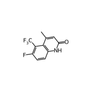 Cc1cc(=O)[nH]c2ccc(F)c(C(F)(F)F)c12